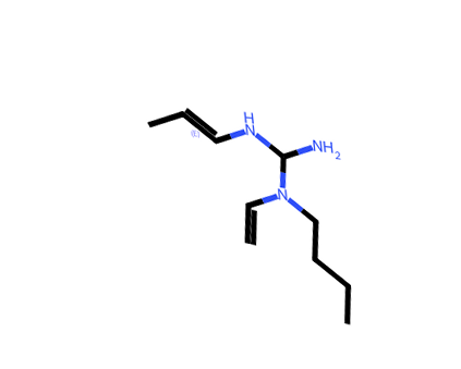 C=CN(CCCC)C(N)N/C=C/C